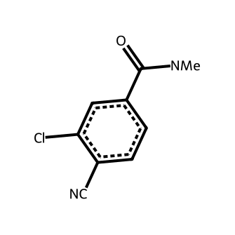 CNC(=O)c1ccc(C#N)c(Cl)c1